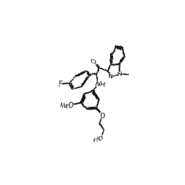 COc1cc(NC(C(=O)c2nn(C)c3ccccc23)c2ccc(F)cc2)cc(OCCO)c1